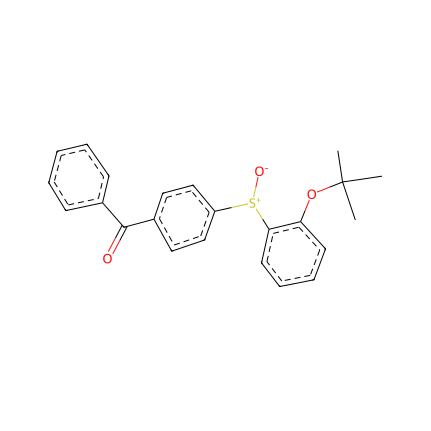 CC(C)(C)Oc1ccccc1[S+]([O-])c1ccc(C(=O)c2ccccc2)cc1